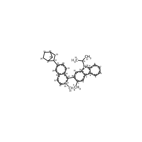 Cc1cc2c3ccccc3n(C(C)C)c2cc1-c1c2ccc(C3CC4CCC3C4)cc2cc[n+]1C